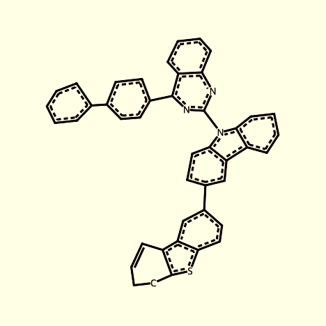 C1=Cc2c(sc3ccc(-c4ccc5c(c4)c4ccccc4n5-c4nc(-c5ccc(-c6ccccc6)cc5)c5ccccc5n4)cc23)CC1